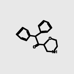 O=C(C1CNCCO1)C(c1ccccc1)c1ccccc1